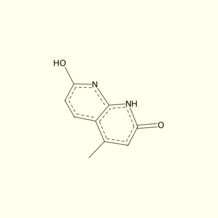 Cc1cc(=O)[nH]c2nc(O)ccc12